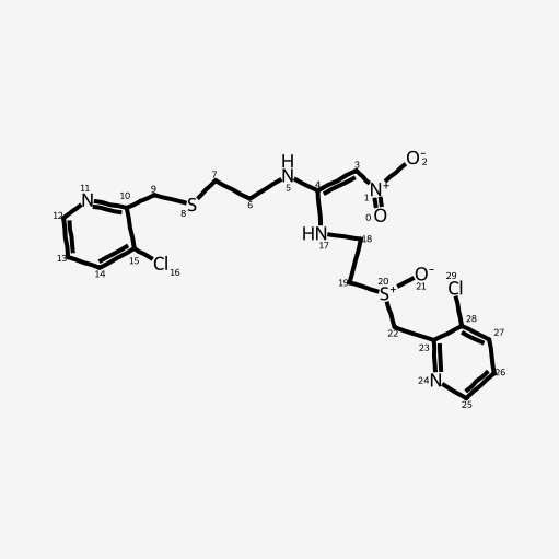 O=[N+]([O-])C=C(NCCSCc1ncccc1Cl)NCC[S+]([O-])Cc1ncccc1Cl